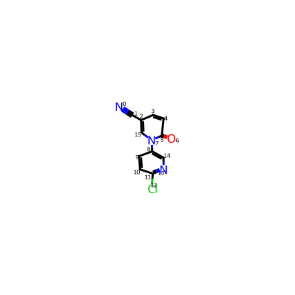 N#Cc1ccc(=O)n(-c2ccc(Cl)nc2)c1